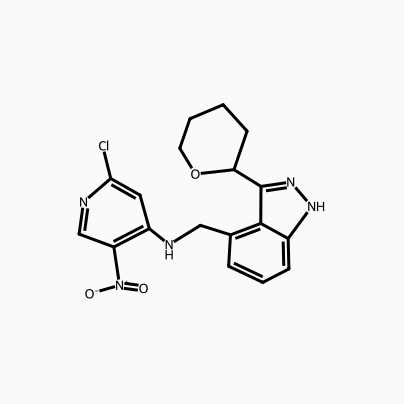 O=[N+]([O-])c1cnc(Cl)cc1NCc1cccc2[nH]nc(C3CCCCO3)c12